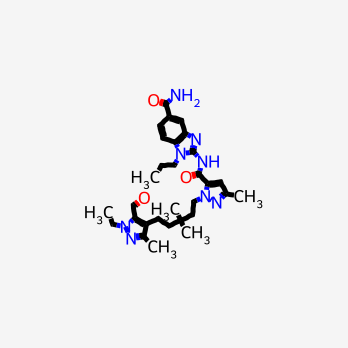 CCCn1c(NC(=O)c2cc(C)nn2CCC(C)(C)CCc2c(C)nn(CC)c2C=O)nc2cc(C(N)=O)ccc21